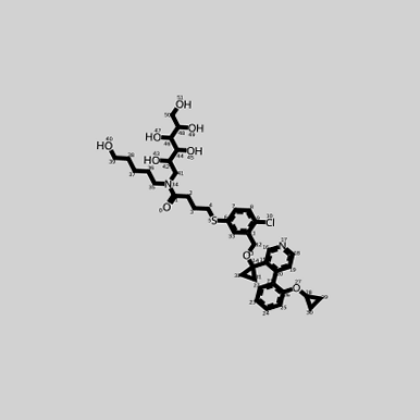 O=C(CCCSc1ccc(Cl)c(COC2(c3cnccc3-c3ccccc3OC3CC3)CC2)c1)N(CCCCCO)CC(O)C(O)C(O)C(O)CO